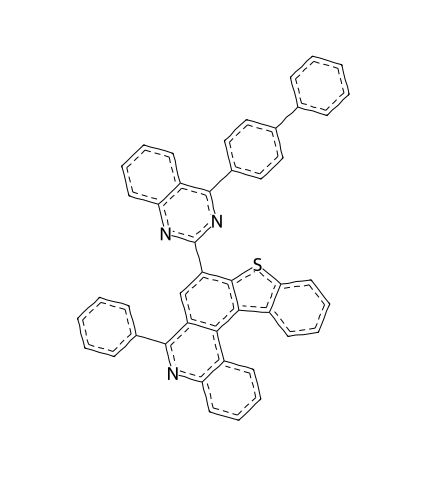 c1ccc(-c2ccc(-c3nc(-c4cc5c(-c6ccccc6)nc6ccccc6c5c5c4sc4ccccc45)nc4ccccc34)cc2)cc1